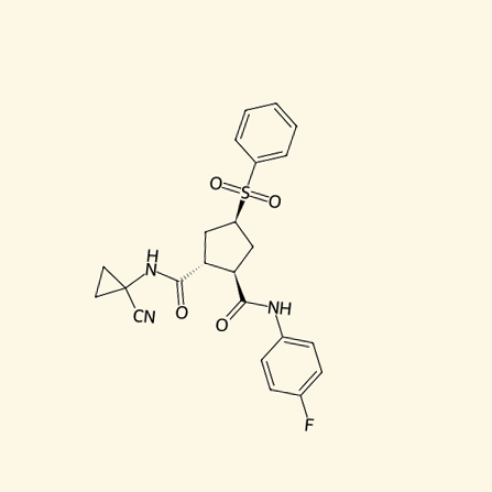 N#CC1(NC(=O)[C@@H]2C[C@@H](S(=O)(=O)c3ccccc3)C[C@H]2C(=O)Nc2ccc(F)cc2)CC1